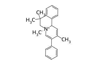 CC1=CC2c3ccccc3C(C)(C)C[N@+]2(C)C=C1c1ccccc1